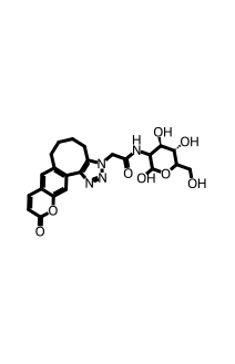 O=C(Cn1nnc2c1CCCCc1cc3ccc(=O)oc3cc1-2)NC1C(O)OC(CO)[C@@H](O)[C@@H]1O